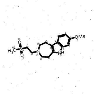 COc1ccc2c3c([nH]c2c1)CCN(CCS(C)(=O)=O)CC3